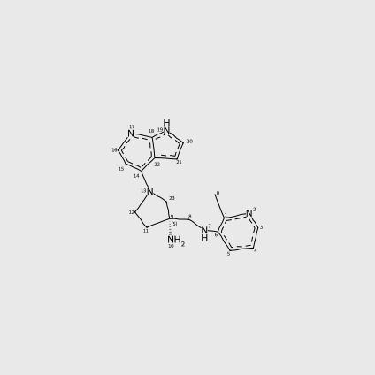 Cc1ncccc1NC[C@@]1(N)CCN(c2ccnc3[nH]ccc23)C1